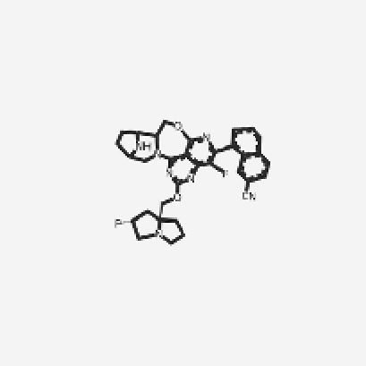 N#Cc1ccc2cccc(-c3nc4c5c(nc(OC[C@@]67CCCN6C[C@H](F)C7)nc5c3F)N3CC5CCC(N5)C3CO4)c2c1